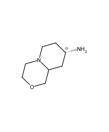 N[C@H]1CCN2CCOCC2C1